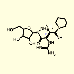 N=C(N)N/C(C(=O)N(N)C1OC(CO)C(O)C1O)=C(/N)C(=N)N1CCCCC1